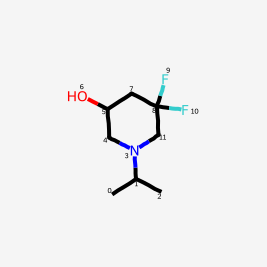 CC(C)N1CC(O)CC(F)(F)C1